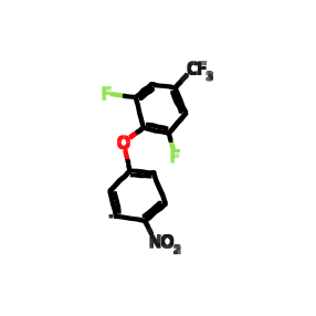 O=[N+]([O-])c1[c]cc(Oc2c(F)cc(C(F)(F)F)cc2F)cc1